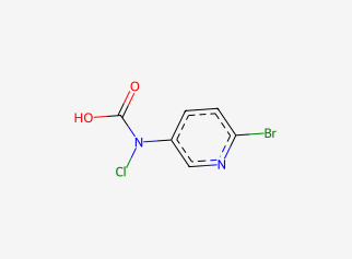 O=C(O)N(Cl)c1ccc(Br)nc1